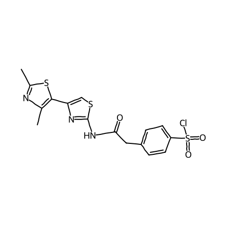 Cc1nc(C)c(-c2csc(NC(=O)Cc3ccc(S(=O)(=O)Cl)cc3)n2)s1